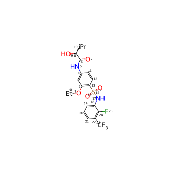 CCOc1cc(NC(=O)[C@@H](O)C(C)C)ccc1S(=O)(=O)Nc1cccc(C(F)(F)F)c1F